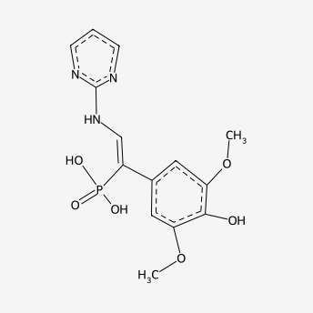 COc1cc(C(=CNc2ncccn2)P(=O)(O)O)cc(OC)c1O